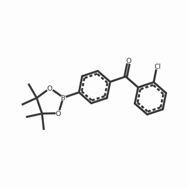 CC1(C)OB(c2ccc(C(=O)c3ccccc3Cl)cc2)OC1(C)C